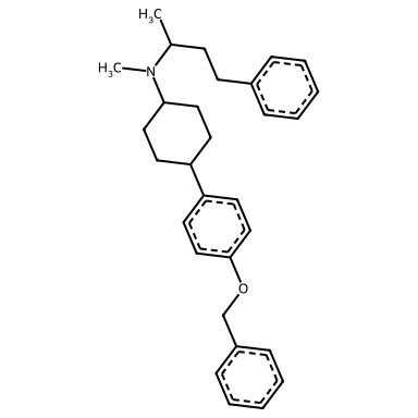 CC(CCc1ccccc1)N(C)C1CCC(c2ccc(OCc3ccccc3)cc2)CC1